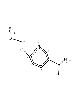 CC(N)c1ccc(OCCC(F)(F)F)nc1